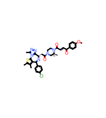 COc1ccc(C(=O)/C=C/C(=O)N2CCN(C(=O)C[C@@H]3N=C(c4ccc(Cl)cc4)c4c(sc(C)c4C)-n4c(C)nnc43)C[C@@H]2C)cc1